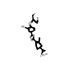 Cc1cc(C2CC2C(=O)O)ccc1-c1nnc(-c2ccc(OC(CF)CF)c(C#N)c2)s1